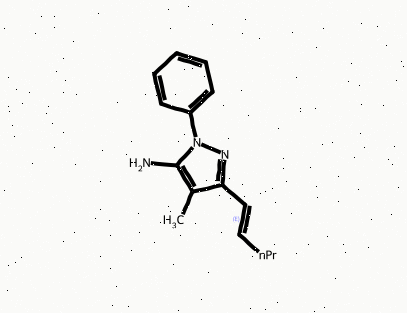 CCC/C=C/c1nn(-c2ccccc2)c(N)c1C